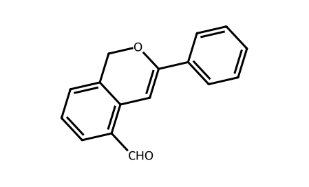 O=Cc1cccc2c1C=C(c1ccccc1)OC2